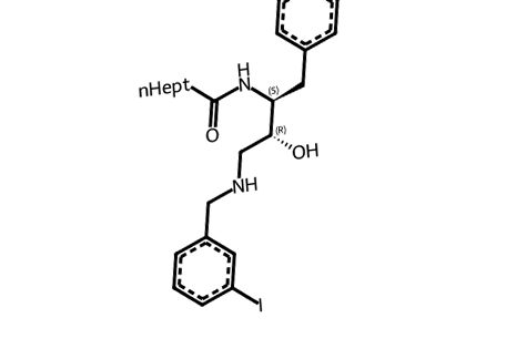 CCCCCCCC(=O)N[C@@H](Cc1cc(F)cc(F)c1)[C@H](O)CNCc1cccc(I)c1